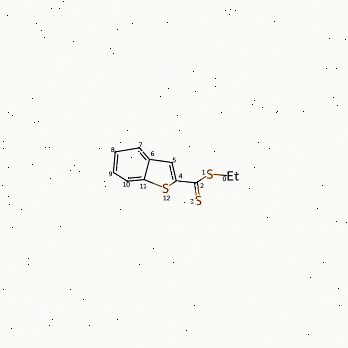 CCSC(=S)c1cc2ccccc2s1